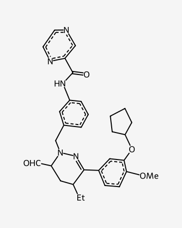 CCC1CC(C=O)N(Cc2cccc(NC(=O)c3cnccn3)c2)N=C1c1ccc(OC)c(OC2CCCC2)c1